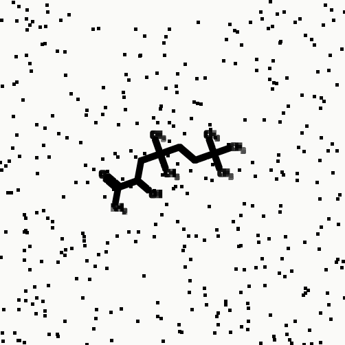 CC(C)(C)CCC(C)(C)CC(O)C(N)=O